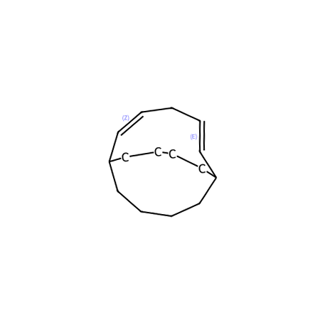 C1=C\C2CCCCC(/C=C/C/1)CCCC2